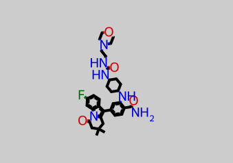 CC1(C)CC(=O)n2c(c(-c3ccc(C(N)=O)c(N[C@H]4CC[C@H](NC(=O)NCCN5CCOCC5)CC4)c3)c3ccc(F)cc32)C1